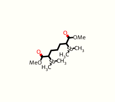 COC(=O)[CH](CCC[CH](C(=O)OC)[Sb]([CH3])[CH3])[Sb]([CH3])[CH3]